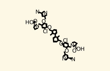 Cc1c(COc2cc(OCc3cncc(C#N)c3)c(CN3CCC[C@H]3C(=O)O)cc2Cl)cccc1-c1cccc(COc2cc(OCc3cncc(C#N)c3)c(CN3CCC[C@H]3C(=O)O)cc2Cl)c1C